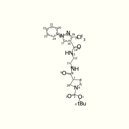 CC(C)(C)OC(=O)N1CCC(C(=O)NCCNC(=O)c2cn(-c3ccccc3)nc2C(F)(F)F)C1